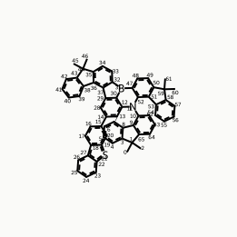 CC1(C)c2ccccc2-c2c(N3c4cc(-c5ccc6c(c5)sc5ccccc56)cc5c4B(c4ccc6c(c4-5)-c4ccccc4C6(C)C)c4ccc5c(c43)-c3ccccc3C5(C)C)cccc21